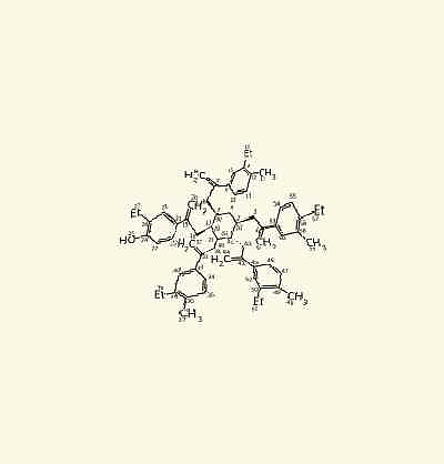 C=C(C[C@@H]1C[C@H](CC(=C)c2ccc(C)c(CC)c2)[C@H](CC(=C)c2ccc(O)c(CC)c2)[C@H](CC(=C)c2ccc(C)c(CC)c2)[C@H]1CC(=C)c1ccc(C)c(CC)c1)c1ccc(CC)c(C)c1